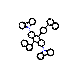 c1ccc2c(-c3ccc(-c4c5cc(-n6c7ccccc7c7ccccc76)ccc5c(-c5cccc6ccccc56)c5cc(-n6c7ccccc7c7ccccc76)ccc45)cc3)cccc2c1